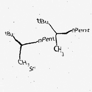 CCCCCC(C)C(C)(C)C.CCCCCC(C)C(C)(C)C.[Sr]